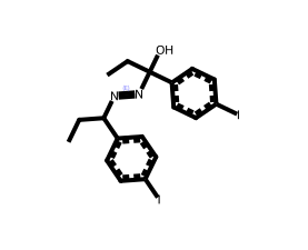 CCC(/N=N/C(O)(CC)c1ccc(I)cc1)c1ccc(I)cc1